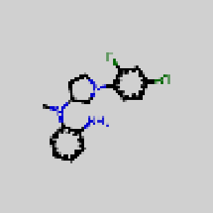 CN(c1ccccc1N)[C@H]1CCN(c2ccc(Cl)cc2F)C1